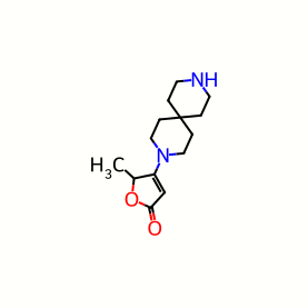 CC1OC(=O)C=C1N1CCC2(CCNCC2)CC1